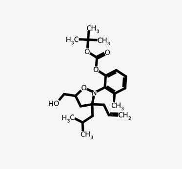 C=CCC1(CC(C)C)CC(CO)ON1c1c(C)cccc1OC(=O)OC(C)(C)C